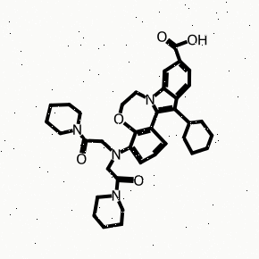 O=C(O)c1ccc2c(C3CCCCC3)c3n(c2c1)CCOc1c-3cccc1N(CC(=O)N1CCCCC1)CC(=O)N1CCCCC1